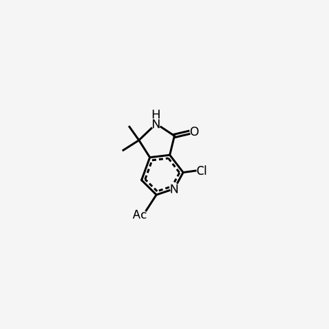 CC(=O)c1cc2c(c(Cl)n1)C(=O)NC2(C)C